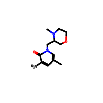 Cc1cc([N+](=O)[O-])c(=O)n(CC2COCCN2C)c1